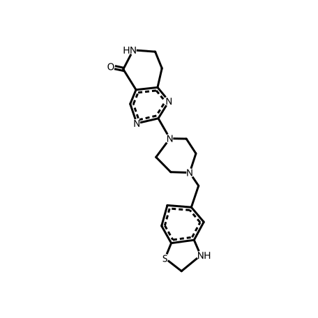 O=C1NCCc2nc(N3CCN(Cc4ccc5c(c4)NCS5)CC3)ncc21